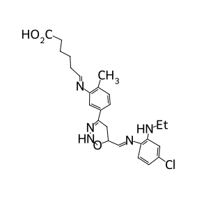 CCNc1cc(Cl)ccc1/N=C/C1CC(c2ccc(C)c(/N=C/CCCCC(=O)O)c2)=NNO1